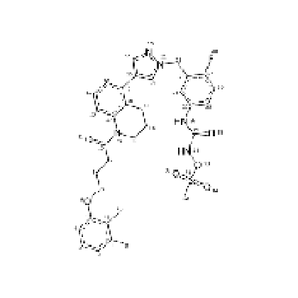 Cc1cccc(OCCCC(=O)N2CCCc3c(-c4cnn(Cc5cc(NC(=O)NOS(C)(=O)=O)ccc5F)c4)cccc32)c1C